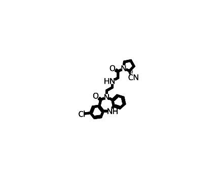 N#C[C@@H]1CCCN1C(=O)CNCCN1C(=O)c2cc(Cl)ccc2Nc2ccccc21